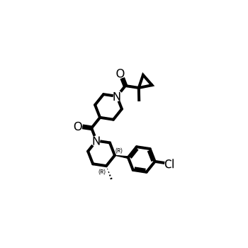 C[C@@H]1CCN(C(=O)C2CCN(C(=O)C3(C)CC3)CC2)C[C@H]1c1ccc(Cl)cc1